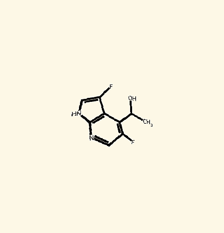 CC(O)c1c(F)cnc2[nH]cc(F)c12